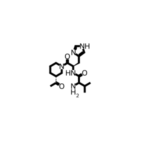 CC(=O)[C@@H]1CCCN(C(=O)[C@@H](Cc2c[nH]cn2)NC(=O)C(N)C(C)C)C1